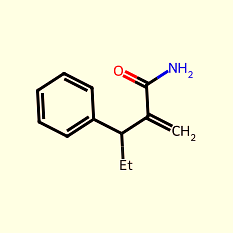 C=C(C(N)=O)C(CC)c1ccccc1